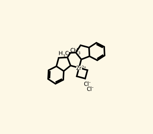 CC1CC2C=CC=CC2[CH]1[Zr+2]1([CH]2C(C)CC3C=CC=CC32)[CH2]C[CH2]1.[Cl-].[Cl-]